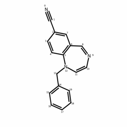 N#Cc1ccc2c(c1)C=NC=CN2Cc1ccccc1